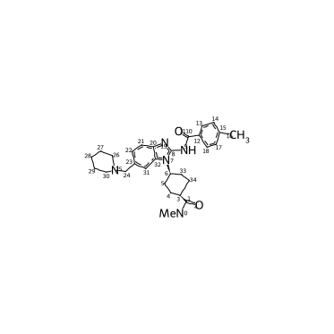 CNC(=O)[C@H]1CC[C@@H](n2c(NC(=O)c3ccc(C)cc3)nc3ccc(CN4CCCCC4)cc32)CC1